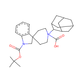 CC(C)(C)OC(=O)N1CC2(CC[N+](C(=O)O)(C3C4CC5CC(C4)CC3C5)CC2)c2ccccc21